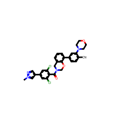 Cn1cc(-c2cc(Cl)c(C(=O)N3COc4c(cccc4-c4ccc(C#N)c(N5CCOCC5)c4)C3)c(Cl)c2)cn1